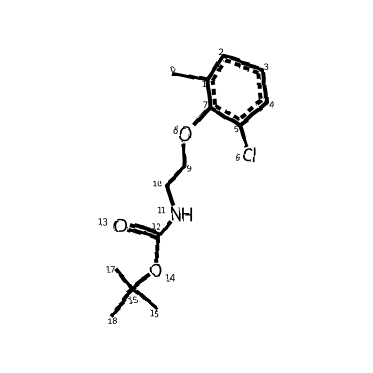 Cc1cccc(Cl)c1OCCNC(=O)OC(C)(C)C